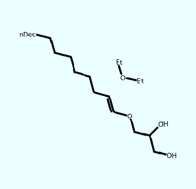 CCCCCCCCCCCCCCCC/C=C/OCC(O)CO.CCOCC